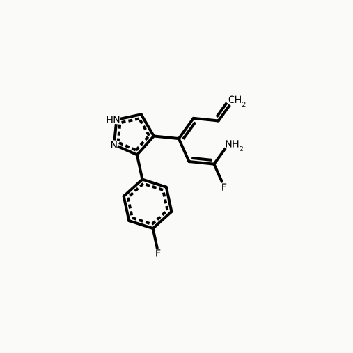 C=C/C=C(\C=C(/N)F)c1c[nH]nc1-c1ccc(F)cc1